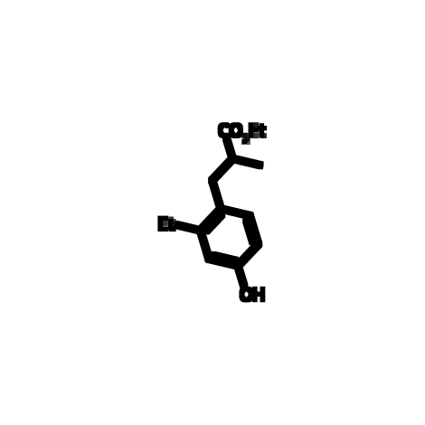 CCOC(=O)C(C)Cc1ccc(O)cc1CC